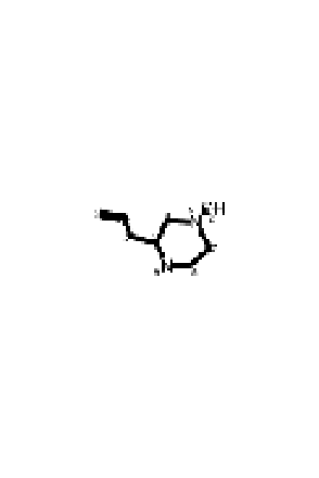 C=CCC1CN(O)CC[N]1